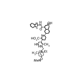 CCC12CC3(C)CC(ONC)(C1)CC2(CN/C(C)=C(\C=N)c1ccc(-c2ccc4c[n+](O)cc(C(=O)Nc5nc6ccccc6s5)c4c2)nc1C(=O)O)C3